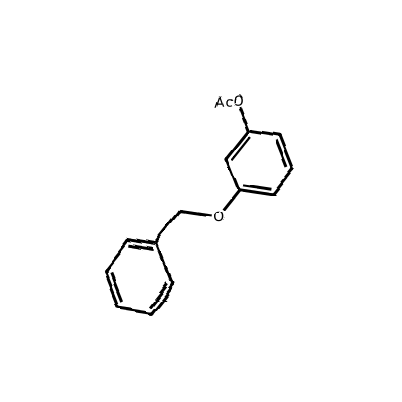 CC(=O)Oc1cccc(OCc2ccccc2)c1